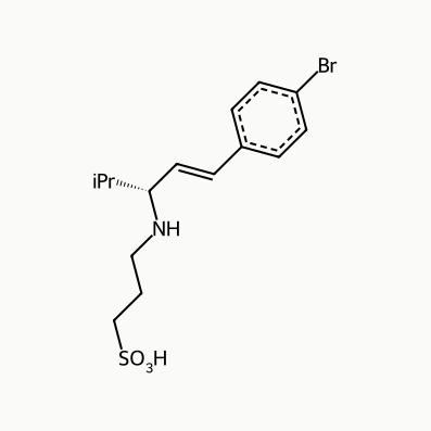 CC(C)[C@H](/C=C/c1ccc(Br)cc1)NCCCS(=O)(=O)O